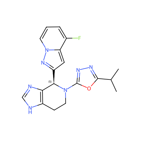 CC(C)c1nnc(N2CCc3[nH]cnc3[C@H]2c2cc3c(F)cccn3n2)o1